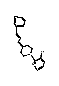 N#Cc1cccnc1N1CCC(=CC=Cc2ccccc2)CC1